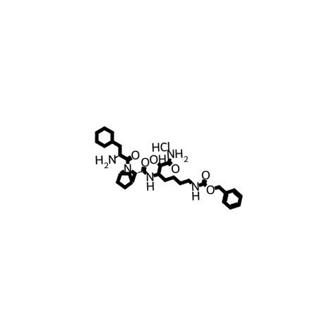 Cl.NC(=O)C(O)C(CCCCNC(=O)OCc1ccccc1)NC(=O)[C@@H]1C2CCC(C2)N1C(=O)[C@H](N)CC1CCCCC1